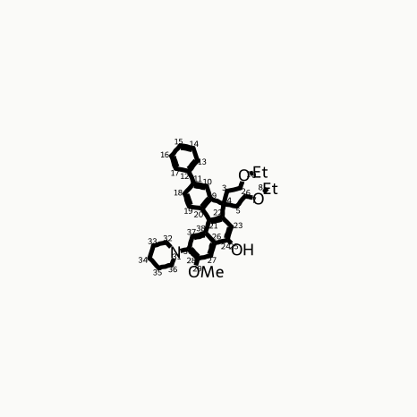 CCOCCC1(CCOCC)c2cc(-c3ccccc3)ccc2-c2c1cc(O)c1cc(OC)c(N3CCCCC3)cc21